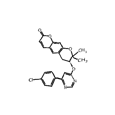 CC1(C)Oc2cc3oc(=O)ccc3cc2C[C@@H]1Oc1cc(-c2ccc(Cl)cc2)ncn1